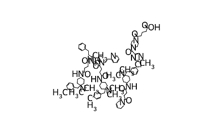 CN(C)C1(Cc2cccc(Cl)c2)CCC(NC(=O)CCC(=O)N2CC=CCC2)CC1.Cc1ccc(CC2(N(C)C)CCC(NC(=O)CCC(=O)N(C)CCc3ccccn3)CC2)cc1.Cc1cccc(CC2(N(C)C)CCC(NC(=O)CCC(=O)NC(C)CCc3ccccc3)CC2)c1.Cc1cnc(C(=O)N2CCN(C(=O)CCCC(=O)O)CC2)cn1